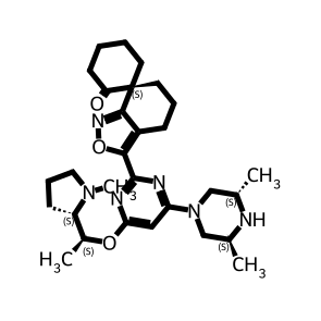 C[C@H](Oc1cc(N2C[C@H](C)N[C@@H](C)C2)nc(-c2onc3c2CCC[C@@]32CCCCC2=O)n1)[C@@H]1CCCN1C